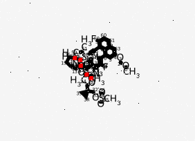 COCOc1cc(-c2ncc3c(N4CC5CCC(C4)N5C(=O)OC(C)(C)C)nc(OCC4(COS(C)(=O)=O)CC4)nc3c2F)c2c(C#C[Si](C(C)C)(C(C)C)C(C)C)c(F)ccc2c1